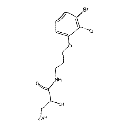 O=C(NCCCOc1cccc(Br)c1Cl)C(O)CO